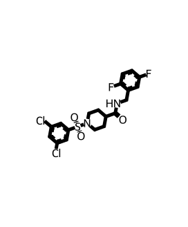 O=C(NCc1cc(F)ccc1F)C1CCN(S(=O)(=O)c2cc(Cl)cc(Cl)c2)CC1